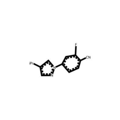 CC(C)c1cnn(-c2ccc(C#N)c(F)c2)c1